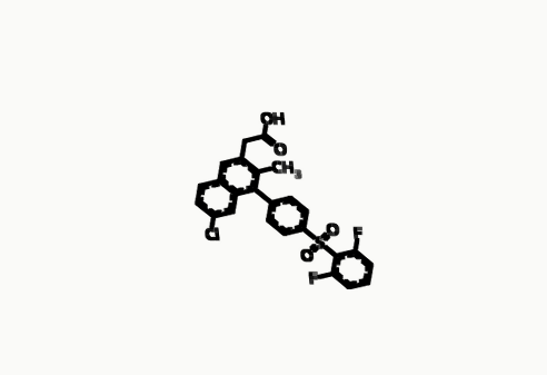 Cc1c(CC(=O)O)cc2ccc(Cl)cc2c1-c1ccc(S(=O)(=O)c2c(F)cccc2F)cc1